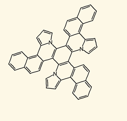 c1ccc2c(c1)ccc1c2c2cccn2c2c3c4ccc5ccccc5c4c4cccn4c3c3c4ccc5ccccc5c4c4cccn4c3c12